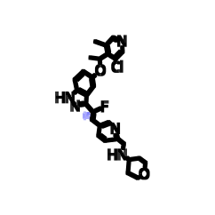 Cc1cncc(Cl)c1C(C)Oc1ccc2[nH]nc(/C(F)=C/c3ccc(CNC4CCOCC4)nc3)c2c1